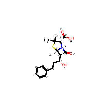 CC1(C)S[C@@H]2[C@H]([C@H](O)CCc3ccccc3)C(=O)N2[C@H]1C(=O)O